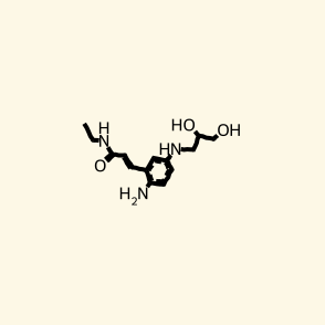 CCNC(=O)C=Cc1cc(NCC(O)CO)ccc1N